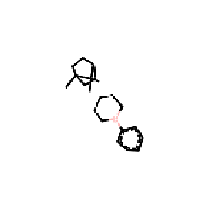 CC12CCC(CC1)C2(C)C.c1ccc(B2CCCCC2)cc1